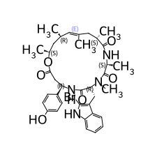 C/C1=C\[C@H](C)C[C@H](C)OC(=O)C[C@H](c2ccc(O)cc2)NC(=O)[C@@H](Cc2c(Br)[nH]c3ccccc23)N(C)C(=O)[C@H](C)NC(=O)[C@@H](C)C1